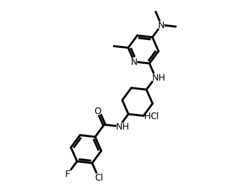 Cc1cc(N(C)C)cc(NC2CCC(NC(=O)c3ccc(F)c(Cl)c3)CC2)n1.Cl